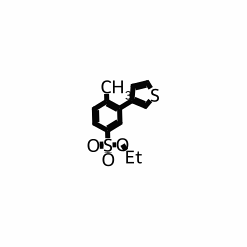 CCOS(=O)(=O)c1ccc(C)c(-c2ccsc2)c1